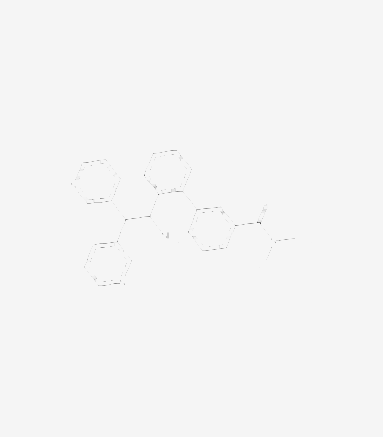 CN(C)C(=O)c1cccc(-c2ccccc2C(N)C(c2cccnc2)c2cccnc2)c1